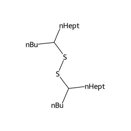 CCCCCCCC(CCCC)SSC(CCCC)CCCCCCC